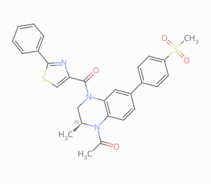 CC(=O)N1c2ccc(-c3ccc(S(C)(=O)=O)cc3)cc2N(C(=O)c2csc(-c3ccccc3)n2)C[C@@H]1C